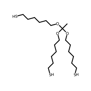 CC(OCCCCCCS)(OCCCCCCS)OCCCCCCS